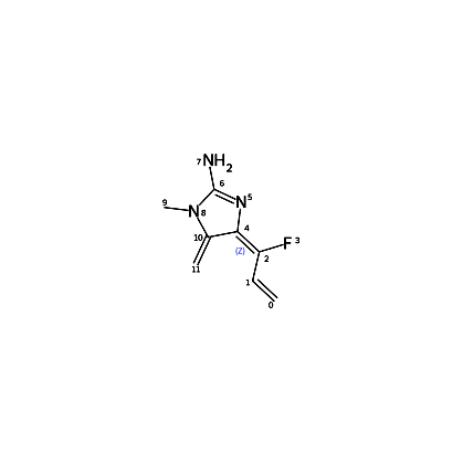 C=C/C(F)=c1/nc(N)n(C)c1=C